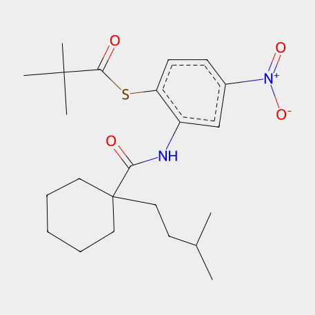 CC(C)CCC1(C(=O)Nc2cc([N+](=O)[O-])ccc2SC(=O)C(C)(C)C)CCCCC1